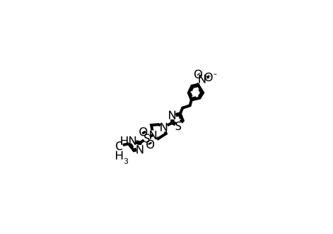 Cc1cnc(S(=O)(=O)N2CCN(c3nc(CCc4ccc([N+](=O)[O-])cc4)cs3)CC2)[nH]1